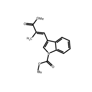 COC(=O)/C(C)=C/c1cn(C(=O)OC(C)(C)C)c2ccccc12